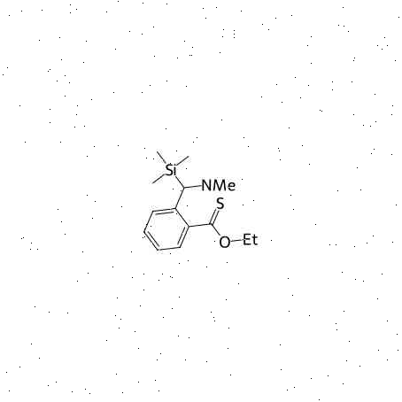 CCOC(=S)c1ccccc1C(NC)[Si](C)(C)C